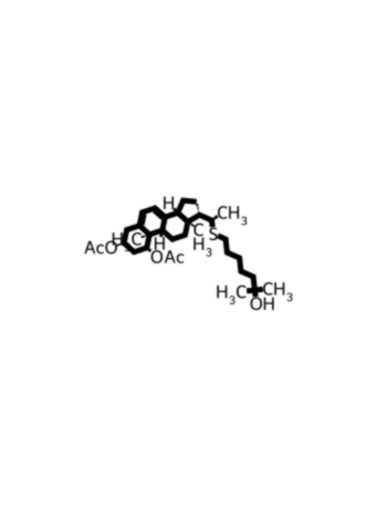 CC(=O)O[C@@H]1CC2=CC=C3[C@@H]4CC[C@H]([C@@H](C)SCCCCCC(C)(C)O)[C@@]4(C)CC[C@@H]3[C@@]2(C)[C@@H](OC(C)=O)C1